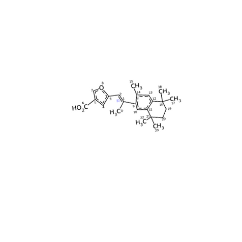 C/C(=C\c1cc(C(=O)O)co1)c1cc2c(cc1C)C(C)(C)CCC2(C)C